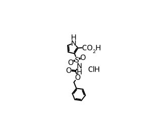 Cl.O=C(NS(=O)(=O)c1cc[nH]c1C(=O)O)OCc1ccccc1